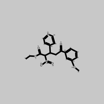 CCOC(=O)C(C(CC(=O)c1cccc(OC)c1)c1ccncc1)[N+](=O)[O-]